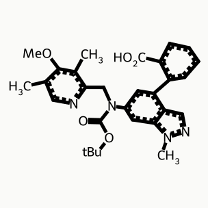 COc1c(C)cnc(CN(C(=O)OC(C)(C)C)c2cc(-c3ccccc3C(=O)O)c3cnn(C)c3c2)c1C